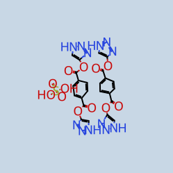 O=C(Oc1c[nH]nn1)c1ccc(C(=O)Oc2c[nH]nn2)cc1.O=C(Oc1c[nH]nn1)c1ccc(C(=O)Oc2c[nH]nn2)cc1.O=S(=O)(O)O